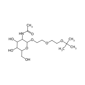 CC(=O)NC1C(OCCOCCOC(C)(C)C)OC(CO)C(O)C1O